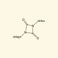 CCCCCCCN1C(=O)N(CCCCCC)C1=O